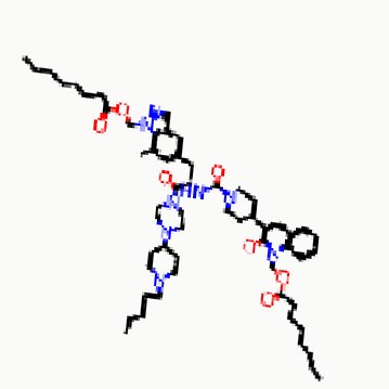 CCCCCCCC(=O)OCn1ncc2cc(C[C@@H](NC(=O)N3CCC(c4cc5ccccc5n(COC(=O)CCCCCCC)c4=O)CC3)C(=O)N3CCN(C4CCN(CCCCC)CC4)CC3)cc(C)c21